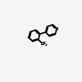 FC(F)(F)c1c[c]ccc1-c1ccncc1